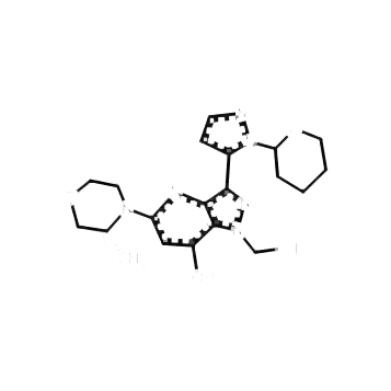 CCn1nc(-c2ccnn2C2CCCCO2)c2nc(N3CCOC[C@H]3C)cc(O)c21